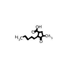 CCCCCC1C(=O)C(C)CC1C(=O)O